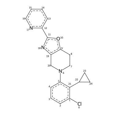 Clc1cccc(N2CCc3oc(-c4ccccn4)nc3C2)c1C1CC1